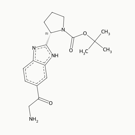 CC(C)(C)OC(=O)N1CCC[C@H]1c1nc2ccc(C(=O)CN)cc2[nH]1